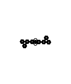 O=S(=O)(c1ccc(-c2ccc(-c3ccccc3)c(-c3ccccc3)c2)cc1)c1ccc(-c2ccc(-c3ccccc3)c(-c3ccccc3)c2)cc1